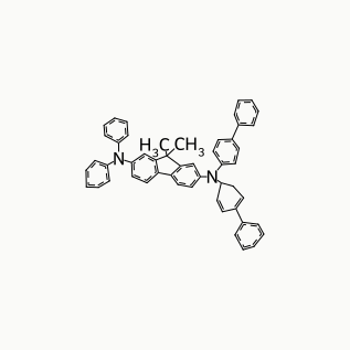 CC1(C)c2cc(N(c3ccccc3)c3ccccc3)ccc2-c2ccc(N(c3ccc(-c4ccccc4)cc3)C3C=CC(c4ccccc4)=CC3)cc21